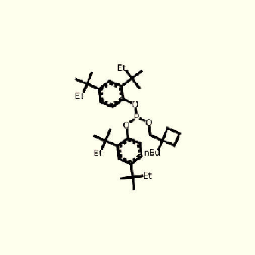 CCCCC1(COP(Oc2ccc(C(C)(C)CC)cc2C(C)(C)CC)Oc2ccc(C(C)(C)CC)cc2C(C)(C)CC)CCC1